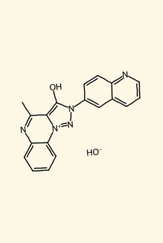 Cc1nc2ccccc2[n+]2nn(-c3ccc4ncccc4c3)c(O)c12.[OH-]